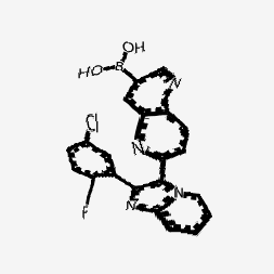 OB(O)c1cnc2ccc(-c3c(-c4cc(Cl)ccc4F)nc4ccccn34)nc2c1